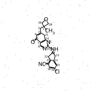 CC1(CC2=CC(=O)c3cnc(N[C@H]4Cc5cc(Cl)cc(C#N)c5C4)nc3C2)COC1